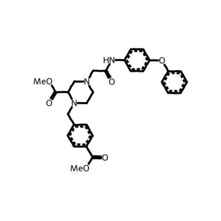 COC(=O)c1ccc(CN2CCN(CC(=O)Nc3ccc(Oc4ccccc4)cc3)CC2C(=O)OC)cc1